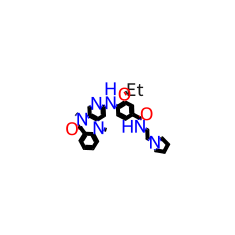 CCOc1cc(C(=O)NCCN2CCCC2)ccc1Nc1cc2c(cn1)N(C)C(=O)c1ccccc1N2C